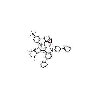 CC(C)(C)c1ccc(N2c3cc4c(cc3B3c5cc(-c6ccccc6)ccc5N(c5ccc(-c6ccccc6)cc5)c5cc(Cl)cc2c53)C(C)(C)CCC4(C)C)c(-c2ccccc2)c1